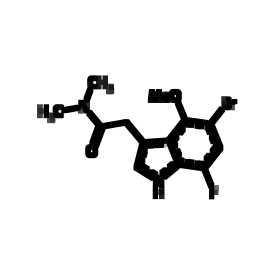 COc1c(Br)cc(F)c2[nH]cc(CC(=O)N(C)C)c12